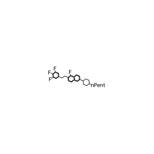 CCCCCC1CCC(c2ccc3c(F)c(CCc4cc(F)c(F)c(F)c4)ccc3c2)CC1